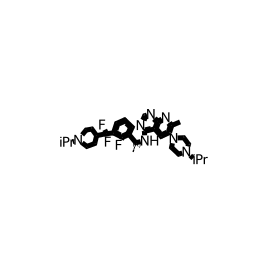 Cc1nc2ncnc(N[C@H](C)c3cccc(C(F)(F)C4CCN(C(C)C)CC4)c3F)c2cc1N1CCN(C(C)C)CC1